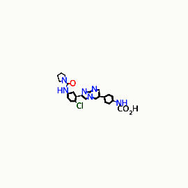 O=C(O)Nc1ccc(-c2cnc3nc(-c4cc(NC(=O)N5CCCC5)ccc4Cl)cn3c2)cc1